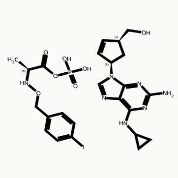 C[C@H](NOCc1ccc(I)cc1)C(=O)OP(=O)(O)O.Nc1nc(NC2CC2)c2ncn([C@H]3C=C[C@@H](CO)C3)c2n1